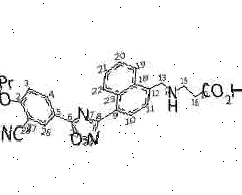 CC(C)Oc1ccc(-c2nc(-c3ccc(CNCCC(=O)O)c4ccccc34)no2)cc1C#N